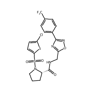 O=C(NCc1nc(-c2ccc(C(F)(F)F)cc2)no1)[C@@H]1CCCN1S(=O)(=O)c1ccc(Cl)s1